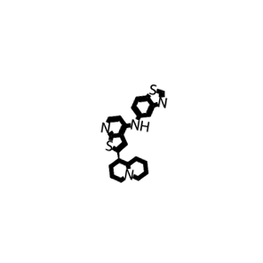 c1cc(Nc2ccc3scnc3c2)c2cc([C@@H]3CCCN4CCCCC34)sc2n1